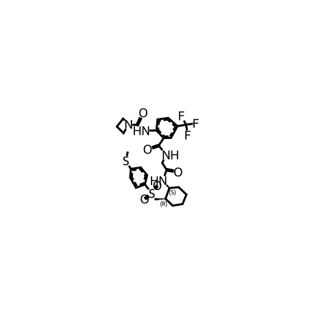 CSc1ccc(S(=O)(=O)C[C@@H]2CCCC[C@@H]2NC(=O)CNC(=O)c2cc(C(F)(F)F)ccc2NC(=O)N2CCC2)cc1